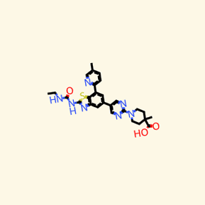 CCNC(=O)Nc1nc2cc(-c3cnc(N4CCC(C)(C(=O)O)CC4)nc3)cc(-c3ccc(C)cn3)c2s1